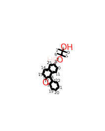 CC(C)(O)C(C)(C)OBc1ccc2c(ccc3oc4ccccc4c32)c1